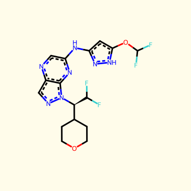 FC(F)Oc1cc(Nc2cnc3cnn([C@@H](C(F)F)C4CCOCC4)c3n2)n[nH]1